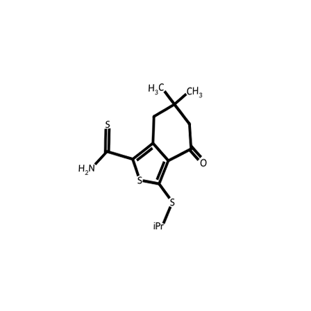 CC(C)Sc1sc(C(N)=S)c2c1C(=O)CC(C)(C)C2